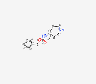 CC1(NC(=O)OCc2ccccc2)CCCNCC1